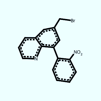 O=[N+]([O-])c1ccccc1-c1cc(CBr)cc2cccnc12